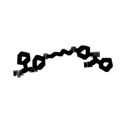 C=C(Nc1ccc(OCCCCCOc2ccc(NC(=N)c3ccccc3)cc2)cc1)c1ccccc1